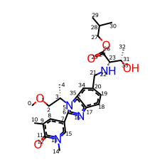 COC[C@H](C)n1c(-c2cc(C)c(=O)n(C)c2)nc2ccc(CN[C@H](C(=O)OCC(C)C)[C@H](C)O)cc21